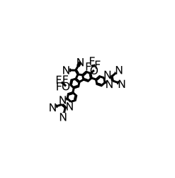 N#CC(C#N)=C1c2cc(OC(F)(F)F)c(-c3ccc4nc(C#N)c(C#N)nc4c3)cc2-c2cc(-c3ccc4nc(C#N)c(C#N)nc4c3)c(OC(F)(F)F)cc21